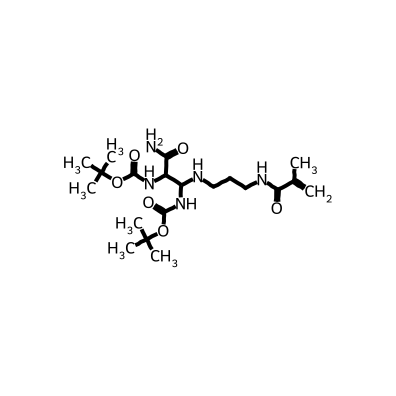 C=C(C)C(=O)NCCCNC(NC(=O)OC(C)(C)C)C(NC(=O)OC(C)(C)C)C(N)=O